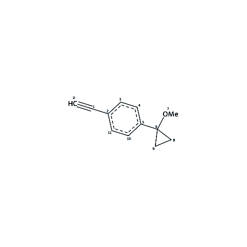 C#Cc1ccc(C2(OC)CC2)cc1